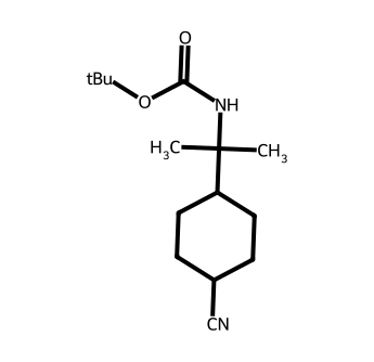 CC(C)(C)OC(=O)NC(C)(C)C1CCC(C#N)CC1